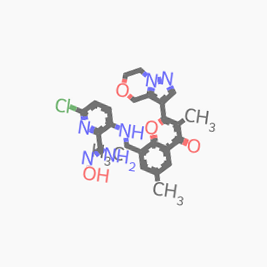 Cc1cc([C@@H](C)Nc2ccc(Cl)nc2/C(N)=N/O)c2oc(-c3cnn4c3COCC4)c(C)c(=O)c2c1